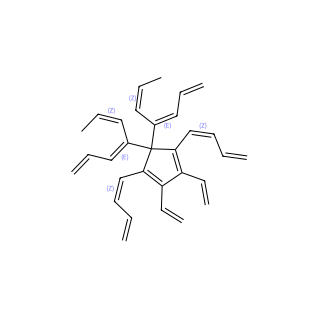 C=C/C=C\C1=C(C=C)C(C=C)=C(/C=C\C=C)C1(C(/C=C\C)=C/C=C)C(/C=C\C)=C/C=C